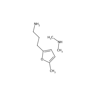 CNC.Cc1ccc(CCCN)o1